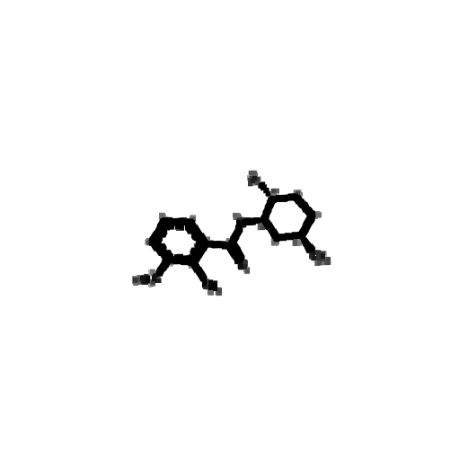 Cc1c(C(=O)O)cccc1C(=O)O[C@@H]1C[C@H](C)CC[C@H]1C(C)C